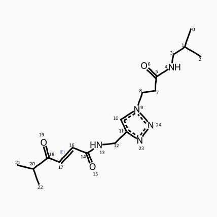 CC(C)CNC(=O)CCn1cc(CNC(=O)/C=C/C(=O)C(C)C)nn1